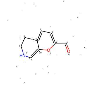 O=CC1=CC=C2CCNC=C2O1